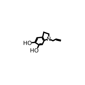 C=CCN1CCc2cc(O)c(O)cc21